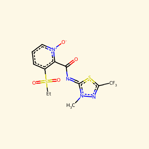 CCS(=O)(=O)c1ccc[n+]([O-])c1C(=O)/N=c1\sc(C(F)(F)F)nn1C